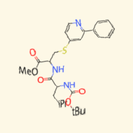 COC(=O)C(CSc1ccnc(-c2ccccc2)c1)NC(=O)C(CC(C)C)NC(=O)OC(C)(C)C